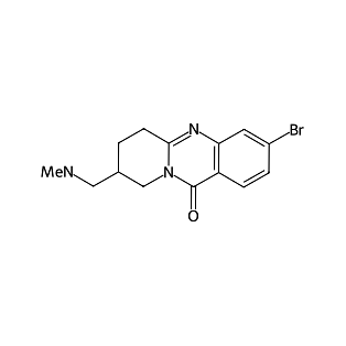 CNCC1CCc2nc3cc(Br)ccc3c(=O)n2C1